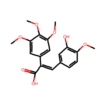 COc1ccc(/C=C(/C(=O)O)c2cc(OC)c(OC)c(OC)c2)cc1O